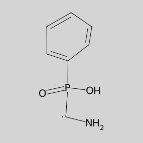 N[CH]P(=O)(O)c1ccccc1